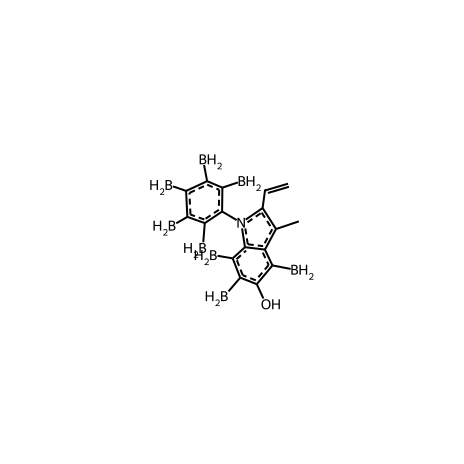 Bc1c(B)c(B)c(-n2c(C=C)c(C)c3c(B)c(O)c(B)c(B)c32)c(B)c1B